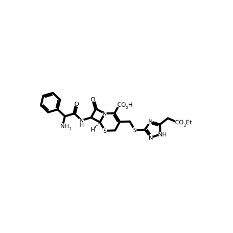 CCOC(=O)Cc1nc(SCC2=C(C(=O)O)N3C(=O)C(NC(=O)C(N)c4ccccc4)[C@@H]3SC2)n[nH]1